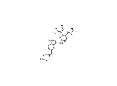 CC(=O)/C(C)=C(\C)c1cnc(Nc2c[nH]c3ccc(CN4CCNCC4)cc23)nc1N(C=O)C1CCCC1